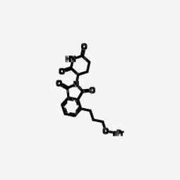 CCCOCCCc1cccc2c1C(=O)N(C1CCC(=O)NC1=O)C2=O